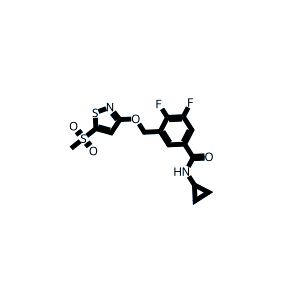 CS(=O)(=O)c1cc(OCc2cc(C(=O)NC3CC3)cc(F)c2F)ns1